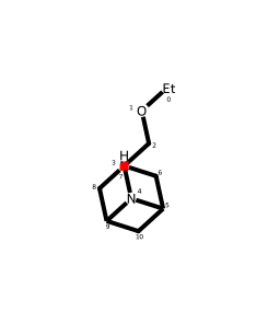 CCOCCN1C2CNCC1C2